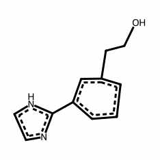 OCCc1cccc(-c2ncc[nH]2)c1